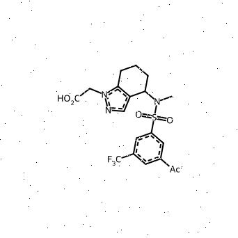 CC(=O)c1cc(C(F)(F)F)cc(S(=O)(=O)N(C)C2CCCc3c2cnn3CC(=O)O)c1